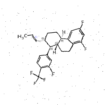 C/C=C/[C@@H]1CC[C@H]2c3cc(F)cc(F)c3CC[C@@H]2[C@H]1c1ccc(C(F)(F)F)c(F)c1